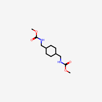 COC(=O)NCC1CCC(CNC(=O)OC)CC1